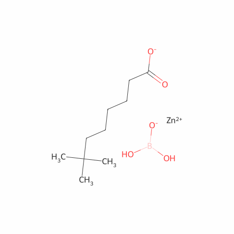 CC(C)(C)CCCCCC(=O)[O-].[O-]B(O)O.[Zn+2]